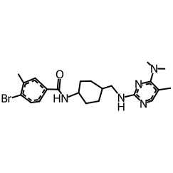 Cc1cc(C(=O)NC2CCC(CNc3ncc(C)c(N(C)C)n3)CC2)ccc1Br